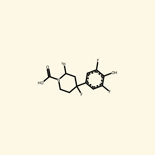 [2H]C1CC(F)(c2cc(F)c(O)c(F)c2)CCN1C(=O)O